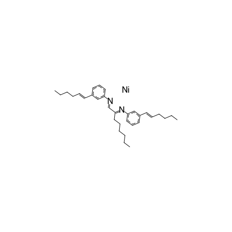 CCCCC=Cc1cccc(N=CC(CCCCCC)=Nc2cccc(C=CCCCC)c2)c1.[Ni]